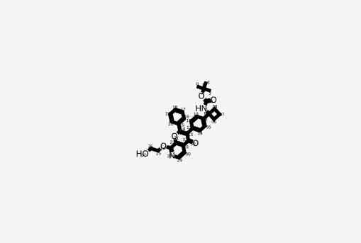 CC(C)(C)OC(=O)NC1(c2ccc(-c3c(-c4ccccc4)oc4c(OCCO)nccc4c3=O)cc2)CCC1